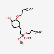 CCO[Si](CCC1CCC(O)C(OCCOC)C1)(OCC)OCCOC